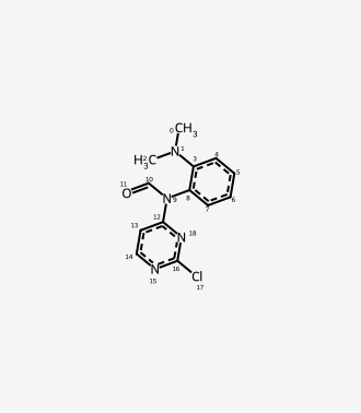 CN(C)c1ccccc1N(C=O)c1ccnc(Cl)n1